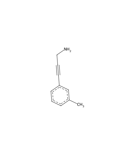 Cc1cccc(C#CCN)c1